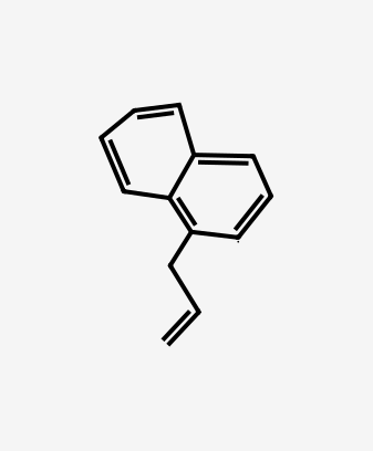 C=CCc1[c]ccc2ccccc12